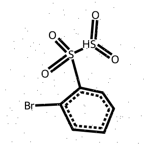 O=[SH](=O)S(=O)(=O)c1ccccc1Br